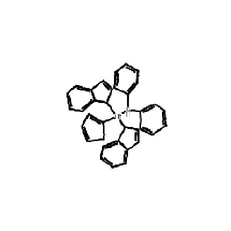 C1=CC[C]([Hf]([CH]2C=Cc3ccccc32)([CH]2C=Cc3ccccc32)[SiH](c2ccccc2)c2ccccc2)=C1